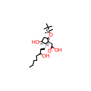 CCCCC[C@H](O)C=C[C@H]1[C@H](CC(=O)O)[C@H](O[Si](C)(C)C(C)(C)C)C[C@@H]1O